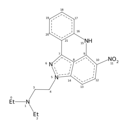 CCN(CC)CCn1nc2c3c(c([N+](=O)[O-])ccc31)Nc1ccccc1-2